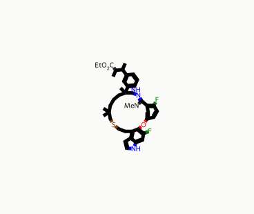 CCOC(=O)C(C)C(C)c1cccc(C2(C)CCCC(C)(C)CSCCc3c(c(F)cc4[nH]ccc34)Oc3ccc(F)c(c3)/C(NC)=N/C2=N)c1